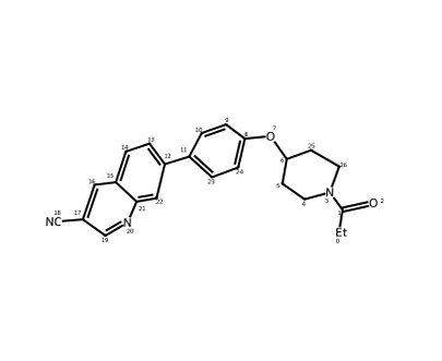 CCC(=O)N1CCC(Oc2ccc(-c3ccc4cc(C#N)cnc4c3)cc2)CC1